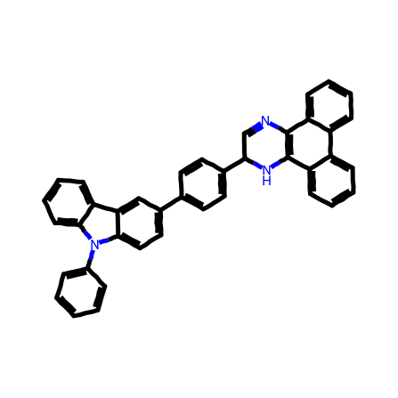 C1=Nc2c(c3ccccc3c3ccccc23)NC1c1ccc(-c2ccc3c(c2)c2ccccc2n3-c2ccccc2)cc1